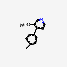 COc1cnccc1-c1ccc(C)cc1